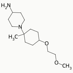 COCCOC1CCC(C)(N2CCC(N)CC2)CC1